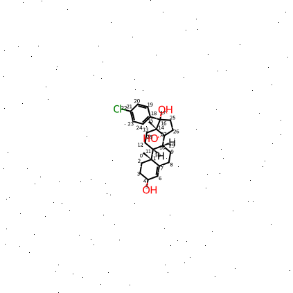 C[C@]12CCC(O)C=C1CC[C@@H]1[C@H]2CC[C@]2(C)C(O)(c3ccc(Cl)cc3)CC[C@@]12O